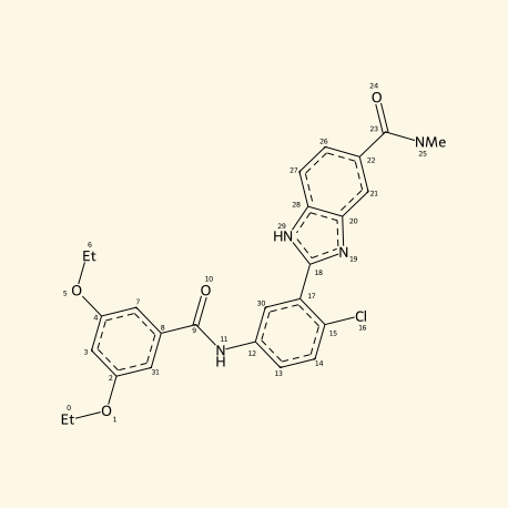 CCOc1cc(OCC)cc(C(=O)Nc2ccc(Cl)c(-c3nc4cc(C(=O)NC)ccc4[nH]3)c2)c1